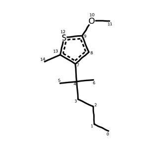 CCCCC(C)(C)c1cc(OC)sc1C